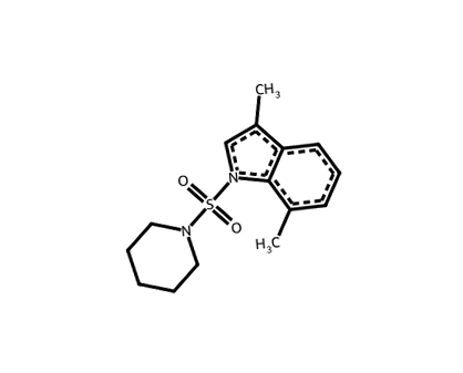 Cc1cn(S(=O)(=O)N2CCCCC2)c2c(C)cccc12